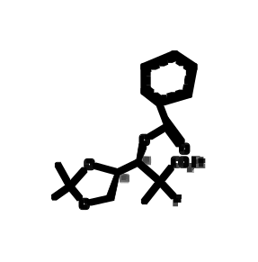 CCOC(=O)C(C)(F)[C@H](OC(=O)c1ccccc1)[C@H]1COC(C)(C)O1